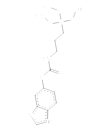 CO[Si](CCCNC(=O)Oc1ccc2[nH]cnc2c1)(OC)OC